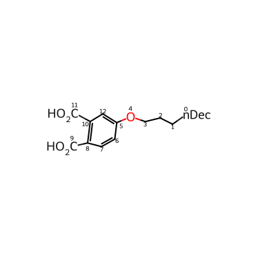 CCCCCCCCCCCCCOc1ccc(C(=O)O)c(C(=O)O)c1